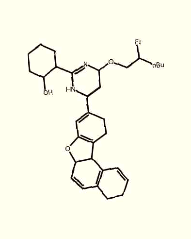 CCCCC(CC)COC1CC(C2=CC3=C(CC2)C2C4=C(C=CC2O3)CCC=C4)NC(C2CCCCC2O)=N1